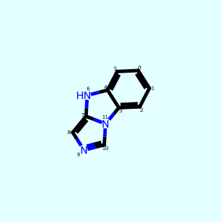 c1ccc2c(c1)[nH]c1cncn12